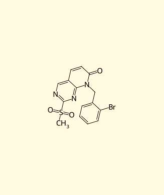 CS(=O)(=O)c1ncc2ccc(=O)n(Cc3ccccc3Br)c2n1